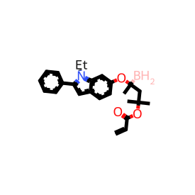 BC(C)(CC(C)(C)OC(=O)C=C)Oc1ccc2cc(-c3ccccc3)n(CC)c2c1